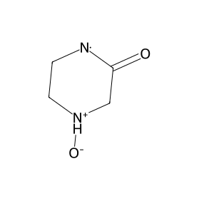 O=C1C[NH+]([O-])CC[N]1